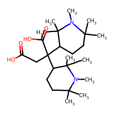 CN1C(C)(C)CCC(C(CC(=O)O)(C(=O)O)C2CCC(C)(C)N(C)C2(C)C)C1(C)C